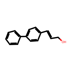 OCC=Cc1ccc(-c2ccccc2)cc1